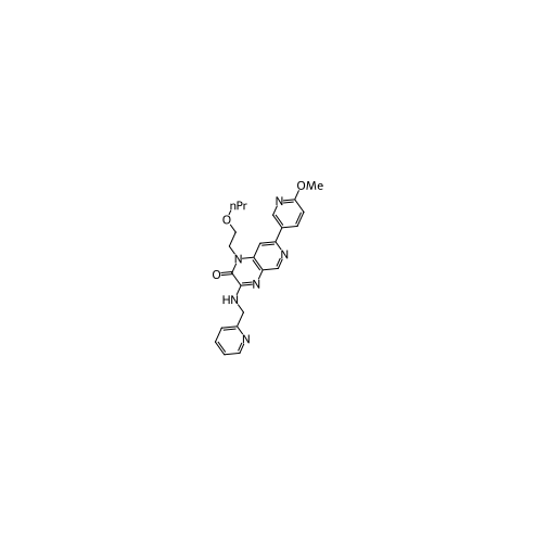 CCCOCCn1c(=O)c(NCc2ccccn2)nc2cnc(-c3ccc(OC)nc3)cc21